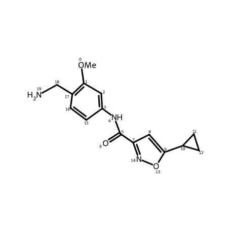 COc1cc(NC(=O)c2cc(C3CC3)on2)ccc1CN